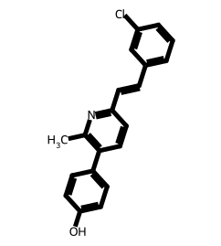 Cc1nc(C=Cc2cccc(Cl)c2)ccc1-c1ccc(O)cc1